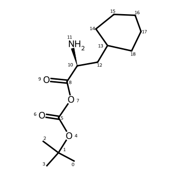 CC(C)(C)OC(=O)OC(=O)[C@@H](N)CC1CCCCC1